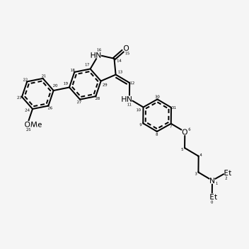 CCN(CC)CCCOc1ccc(N/C=C2/C(=O)Nc3cc(-c4cccc(OC)c4)ccc32)cc1